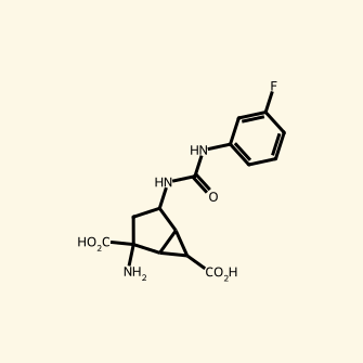 NC1(C(=O)O)CC(NC(=O)Nc2cccc(F)c2)C2C(C(=O)O)C21